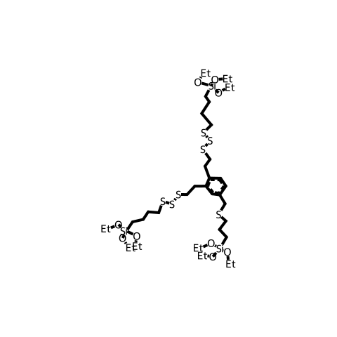 CCO[Si](CCCCSSSCCc1ccc(CSCCC[Si](OCC)(OCC)OCC)cc1CCSSSCCCC[Si](OCC)(OCC)OCC)(OCC)OCC